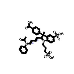 CC(=O)N(/C=C/C=C/C1=[N+](CCCS(=O)(=O)O)c2ccc(S(=O)(=O)O)cc2C1(C)c1ccc(C(=O)O)cc1)c1ccccc1